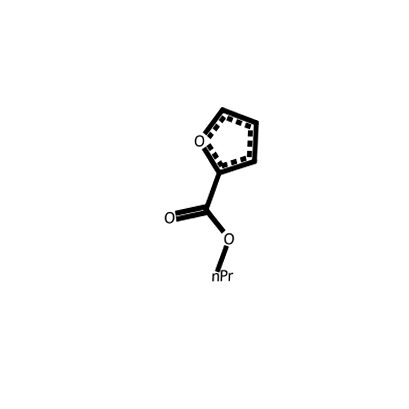 CCCOC(=O)c1ccco1